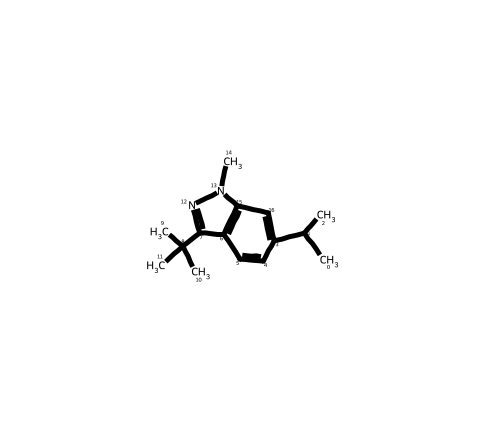 CC(C)c1ccc2c(C(C)(C)C)nn(C)c2c1